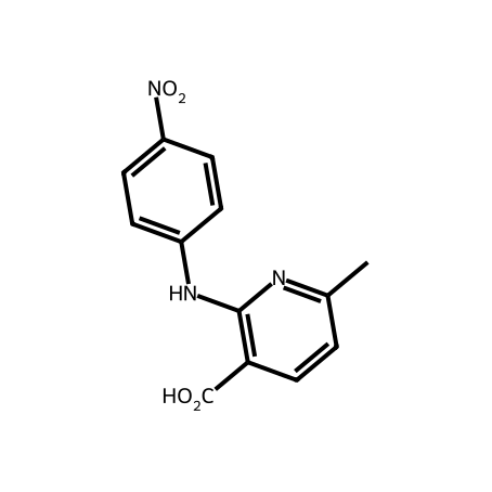 Cc1ccc(C(=O)O)c(Nc2ccc([N+](=O)[O-])cc2)n1